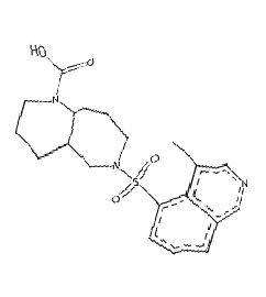 Cc1cncc2cccc(S(=O)(=O)N3CCC4C(CCCN4C(=O)O)C3)c12